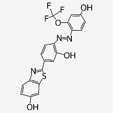 Oc1ccc(N=Nc2ccc(-c3nc4ccc(O)cc4s3)cc2O)c(OC(F)(F)F)c1